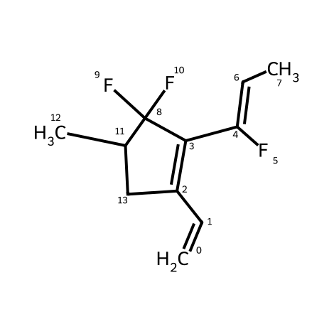 C=CC1=C(/C(F)=C/C)C(F)(F)C(C)C1